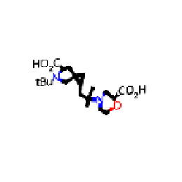 CC(C)(C)N1CC2(CC1C(=O)O)CC2CC(C)(C)N1CCOC(C(=O)O)C1